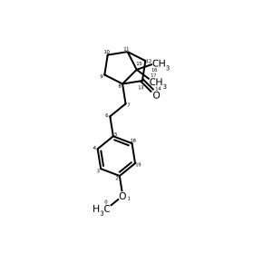 COc1ccc(CCC23CCC(CC2=O)C3(C)C)cc1